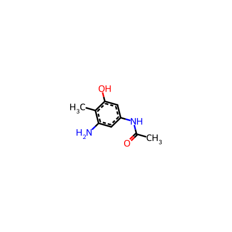 CC(=O)Nc1cc(N)c(C)c(O)c1